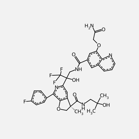 CC(C)(O)CNC(=O)[C@@]1(C)COc2c1cc(C(O)(CNC(=O)c1cc(OCC(N)=O)c3ncccc3c1)C(F)(F)F)nc2-c1ccc(F)cc1